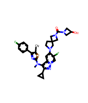 CN(c1nc(-c2ccc(F)cc2)c(C#N)s1)c1c(C2CC2)nn2cc(F)c(N3CCC4(CN(C(=O)N5CC(O)C5)C4)C3)cc12